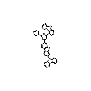 c1ccc(-c2nc(-c3ccc4c(c3)sc3cc(-n5c6ccccc6c6ccccc65)ccc34)nc(-c3cccc4oc5ccccc5c34)n2)cc1